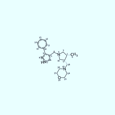 C[C@H]1CN(Cc2c[nH]nc2-c2ccccc2)C[C@H]1CN1CCOCC1